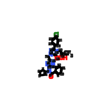 O=C(NC1CCCC1)c1ccccc1-n1cnc(Cn2nc(-c3ccc(Cl)cc3)n(C[C@H](O)C(F)(F)F)c2=O)n1